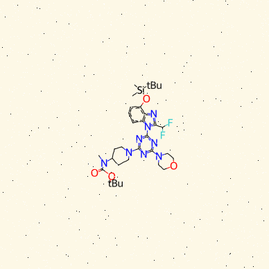 CN(C(=O)OC(C)(C)C)C1CCN(c2nc(N3CCOCC3)nc(-n3c(C(F)F)nc4c(O[Si](C)(C)C(C)(C)C)cccc43)n2)CC1